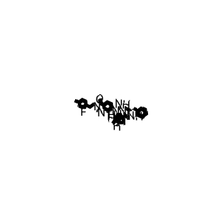 Cc1ccc(CCn2cnc3cc(N(C(=N)N4CCN[C@@H](Cc5ccccc5)C4)[C@H]4C[C@@H]5C[C@H]([C@@H]4C)C5(C)C)ccc3c2=O)c(F)c1